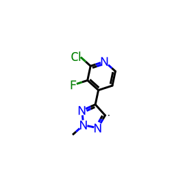 Cn1n[c]c(-c2ccnc(Cl)c2F)n1